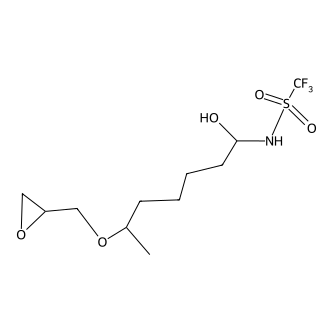 CC(CCCCC(O)NS(=O)(=O)C(F)(F)F)OCC1CO1